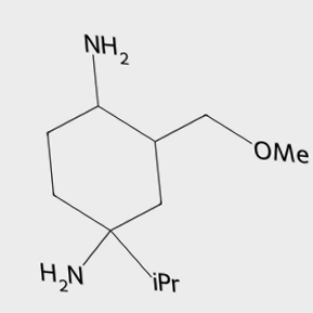 COCC1CC(N)(C(C)C)CCC1N